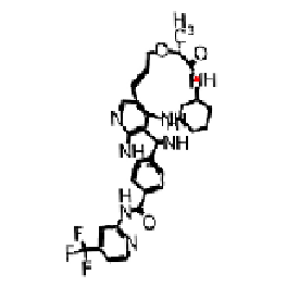 C[C@H]1OC/C=C/c2cnc(N)c(C(=N)c3ccc(C(=O)Nc4cc(C(F)(F)F)ccn4)cc3)c2N[C@@H]2CCC[C@H](C2)NC1=O